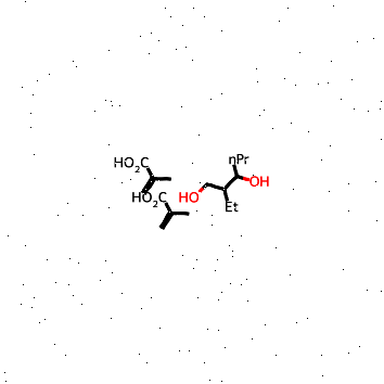 C=C(C)C(=O)O.C=C(C)C(=O)O.CCCC(O)C(CC)CO